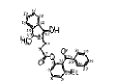 CCc1cccc(OC(=O)CCN2C(O)c3ccccc3C2O)c1C(=O)c1ccccc1